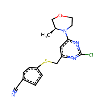 C[C@H]1COCCN1c1cc(CSc2ccc(C#N)cc2)nc(Cl)n1